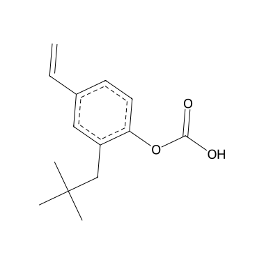 C=Cc1ccc(OC(=O)O)c(CC(C)(C)C)c1